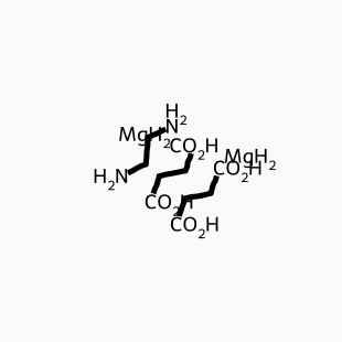 NCCN.O=C(O)CCC(=O)O.O=C(O)CCC(=O)O.[MgH2].[MgH2]